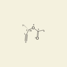 C#C[C@H](C)OC(C)=O